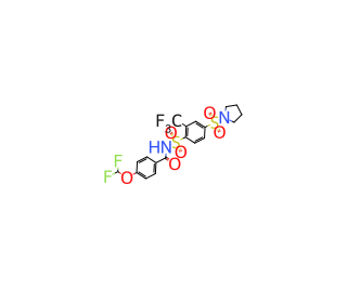 O=C(NS(=O)(=O)c1ccc(S(=O)(=O)N2CCCC2)cc1C(F)(F)F)c1ccc(OC(F)F)cc1